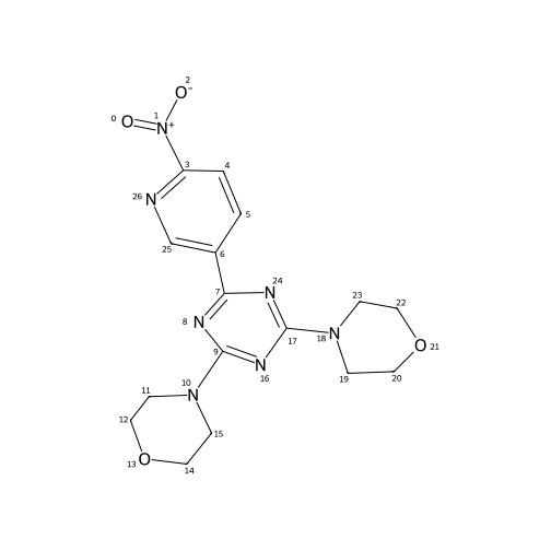 O=[N+]([O-])c1ccc(-c2nc(N3CCOCC3)nc(N3CCOCC3)n2)cn1